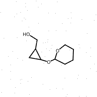 OCC1CC1OC1CCCCO1